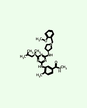 CNC(=O)c1ccc(C)c(Nc2nc(N[C@H]3CCN(Cc4ccccc4OC)C3)nc(N(C)CC(C)C)n2)c1